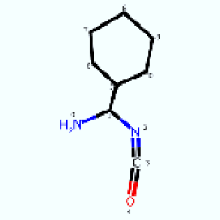 NC(N=C=O)C1CCCCC1